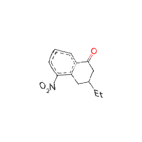 CCC1CC(=O)c2cccc([N+](=O)[O-])c2C1